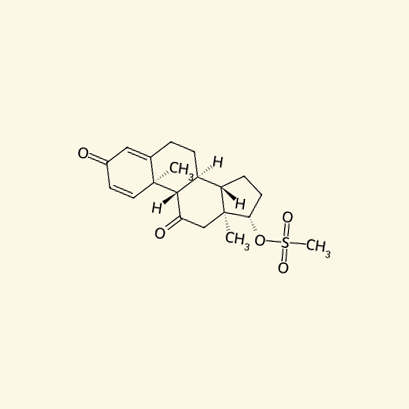 C[C@]12CC(=O)[C@H]3[C@@H](CCC4=CC(=O)C=C[C@@]43C)[C@@H]1CC[C@@H]2OS(C)(=O)=O